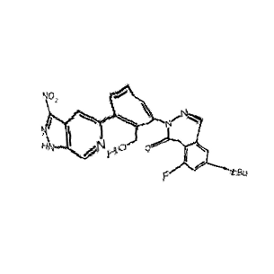 CC(C)(C)c1cc(F)c2c(=O)n(-c3cccc(-c4cc5c([N+](=O)[O-])n[nH]c5cn4)c3CO)ncc2c1